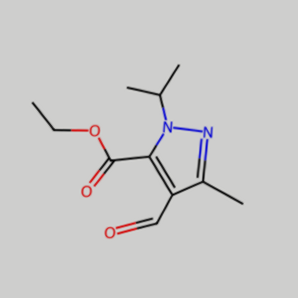 CCOC(=O)c1c(C=O)c(C)nn1C(C)C